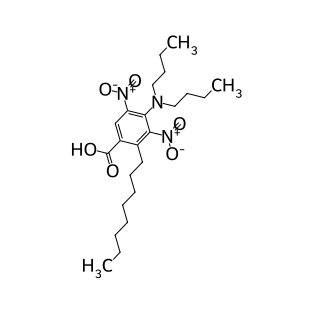 CCCCCCCCc1c(C(=O)O)cc([N+](=O)[O-])c(N(CCCC)CCCC)c1[N+](=O)[O-]